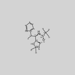 CC(c1ccccn1)[C@@H](N[S@+]([O-])C(C)(C)C)[C@H]1COC(C)(C)O1